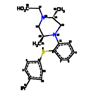 CC(C)c1ccc(Sc2ccccc2N2C[C@@H](C)N(CC(=O)O)C[C@@H]2C)cc1